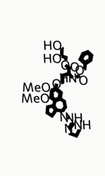 COc1c(OCCC(NC(=O)OCc2ccccc2)C(=O)OCC(O)CO)cc2c(c1OC)C1=C(CCC1)C(=NNC1=NCCCN1)CC2